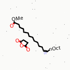 CCCCCCCC/C=C\CCCCCCCCCCCC(=O)OC.O=C1CCC(=O)O1